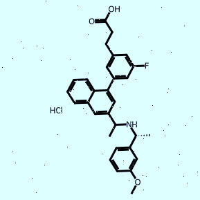 COc1cccc([C@@H](C)NC(C)c2cc(-c3cc(F)cc(CCC(=O)O)c3)c3ccccc3c2)c1.Cl